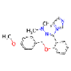 COc1ccc(COc2ccccc2C(=NN(C)C)n2ccnc2)cc1